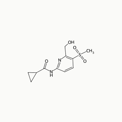 CS(=O)(=O)c1ccc(NC(=O)C2CC2)nc1CO